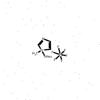 CCCCCC[N+]1(C)C=CN=C1.F[P-](F)(F)(F)(F)F